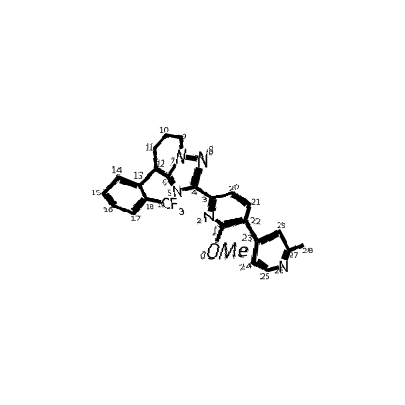 COc1nc(-c2nc3n(n2)CCCC3c2ccccc2C(F)(F)F)ccc1-c1ccnc(C)c1